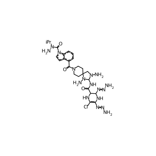 CC(C)N(N)C(=O)n1ccc2c(C(=O)N3CCC4(CC3)CN(N)C(NC(=O)C3NC(Cl)=C(N=NN)NC3N=NN)N4N)cccc21